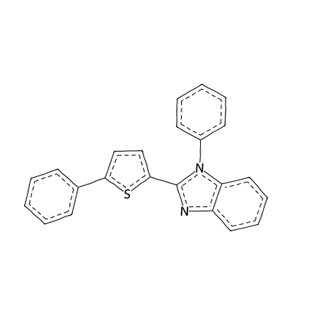 c1ccc(-c2ccc(-c3nc4ccccc4n3-c3ccccc3)s2)cc1